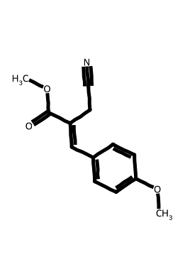 COC(=O)/C(=C/c1ccc(OC)cc1)CC#N